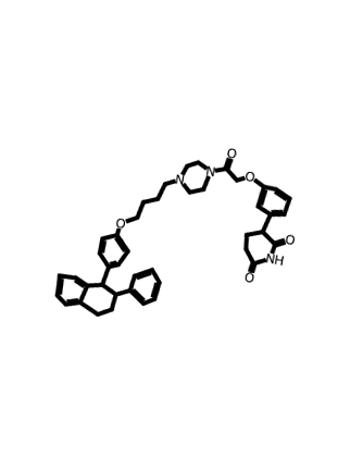 O=C1CCC(c2cccc(OCC(=O)N3CCN(CCCCOc4ccc(C5c6ccccc6CCC5c5ccccc5)cc4)CC3)c2)C(=O)N1